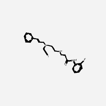 O=C(CCNCCN(CI)C/C=C/c1ccccc1)Nc1ccccc1F